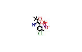 Cc1c(Cl)ccc(/C(O)=C(\C#N)C(=O)C(C)(C)C)c1[N+](=O)[O-]